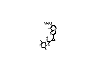 COc1ccn2cc(C3CC3C3=NN4C(C)=CN=C(C)C4N3)nc2c1C